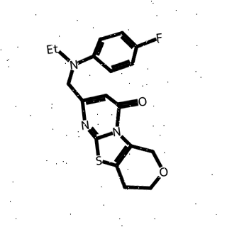 CCN(Cc1cc(=O)n2c3c(sc2n1)CCOC3)c1ccc(F)cc1